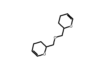 C1=COC(COCC2CCC=CO2)CC1